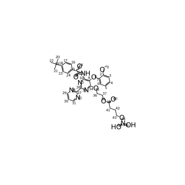 COc1ccccc1Oc1c(NS(=O)(=O)c2ccc(C(C)(C)C)cc2)nc(-c2ncccn2)nc1OCCOC(=O)CCCON(O)O